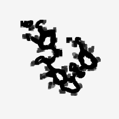 O=C(Nc1ccc(C(=O)O)c(F)c1)c1ccc2c(c1)N(S(=O)(=O)c1cccc(C(F)(F)F)c1)CCC2